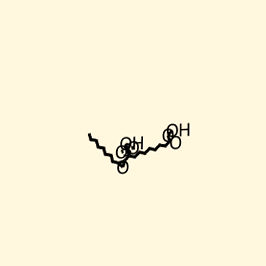 CCCCCCCCC1OC1C(CCCCCCCC(=O)OO)S(=O)(=O)O